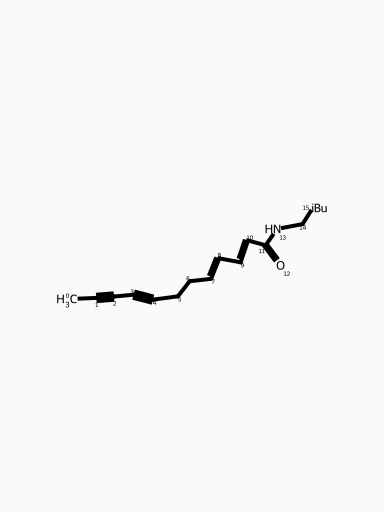 CC#CC#CCCC=CC=CC(=O)NCC(C)CC